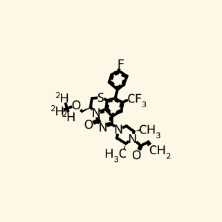 [2H]C([2H])([2H])OC[C@H]1CSc2c(-c3ccc(F)cc3)c(C(F)(F)F)cc3c(N4C[C@@H](C)N(C(=O)C=C)[C@@H](C)C4)nc(=O)n1c23